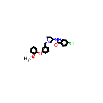 COc1ccccc1Oc1cccc(CN2CCC(NC(=O)c3ccc(Cl)cc3)C2)c1